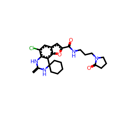 C=C1Nc2c(Cl)cc3cc(C(=O)NCCCN4CCCC4=O)oc3c2C2(CCCCC2)N1